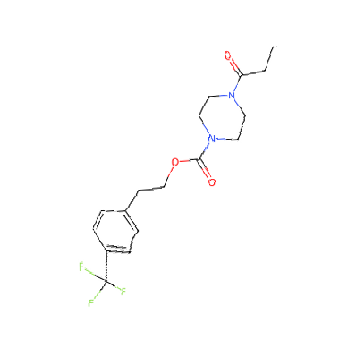 [CH2]CC(=O)N1CCN(C(=O)OCCc2ccc(C(F)(F)F)cc2)CC1